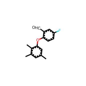 Cc1cc(C)c(C)c(Oc2ccc(F)cc2C=O)c1